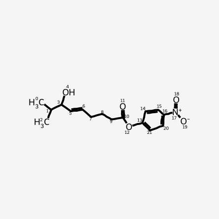 CC(C)C(O)C=CCCCC(=O)Oc1ccc([N+](=O)[O-])cc1